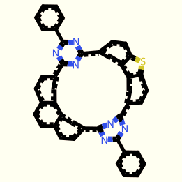 c1ccc(-c2nc3nc(n2)c2ccc4sc5ccc(cc5c4c2)c2nc(-c4ccccc4)nc(n2)c2ccc4ccc5ccc3cc5c4c2)cc1